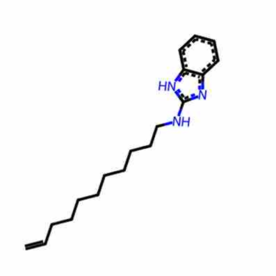 C=CCCCCCCCCCNc1nc2ccccc2[nH]1